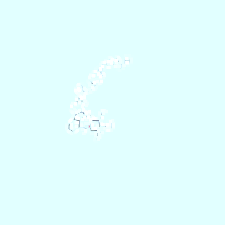 O=C(O)CN1CCN(CC(=O)N2CCc3c(n(Cc4ccc(F)c(Cl)c4F)c4c(F)cccc34)C2)CC1